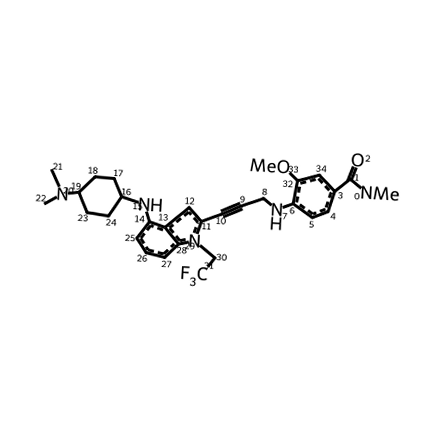 CNC(=O)c1ccc(NCC#Cc2cc3c(NC4CCC(N(C)C)CC4)cccc3n2CC(F)(F)F)c(OC)c1